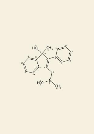 CN(C)C/C=C(\c1ccccc1)C(C)(O)c1ccccc1